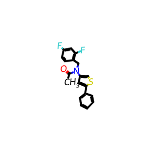 CC(=O)N(Cc1ccc(F)cc1F)c1csc(-c2ccccc2)c1